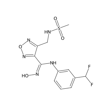 CS(=O)(=O)NCc1nonc1/C(=N\O)Nc1cccc(C(F)F)c1